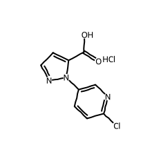 Cl.O=C(O)c1ccnn1-c1ccc(Cl)nc1